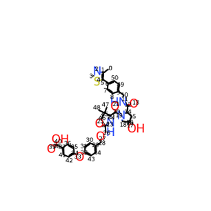 Cc1ncsc1-c1ccc(CNC(=O)C2C[C@@H](O)CN2C(=O)[C@@H](NC(=O)COCc2ccc(Oc3ccc(C(=O)O)cc3)cc2)C(C)(C)C)cc1